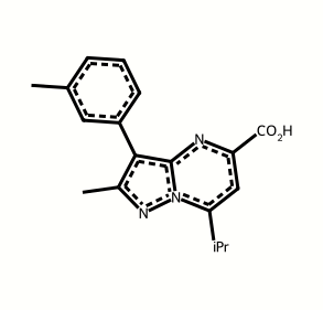 Cc1cccc(-c2c(C)nn3c(C(C)C)cc(C(=O)O)nc23)c1